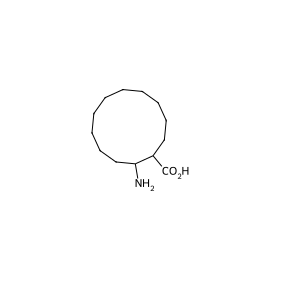 NC1CCCCCCCCCCC1C(=O)O